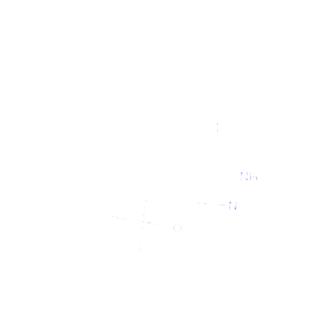 CCC1CC(OC(C)(C)C)N(C)N1